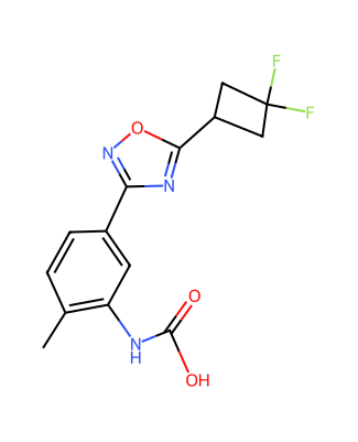 Cc1ccc(-c2noc(C3CC(F)(F)C3)n2)cc1NC(=O)O